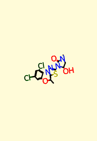 CC(Oc1cc(Cl)cc(Cl)c1)c1nnc(N2C(=O)N(C)CC2O)s1